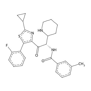 Cc1cccc(C(=O)N[C@H](C(=O)c2nc(C3CC3)sc2-c2ccccc2F)C2CCCCN2)c1